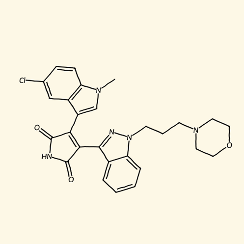 Cn1cc(C2=C(c3nn(CCCN4CCOCC4)c4ccccc34)C(=O)NC2=O)c2cc(Cl)ccc21